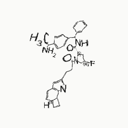 CC(N)c1ccc(C(NC(=O)[C@@H]2C[C@@H](F)CN2C(=O)CCc2cnc3c(c2)C=C[C@@H]2CCC32)c2ccccc2)cc1